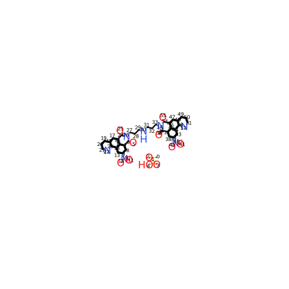 CS(=O)(=O)O.O=C1c2cc([N+](=O)[O-])cc3c2c(cc2cccnc23)C(=O)N1CCCNCCCN1C(=O)c2cc([N+](=O)[O-])cc3c2c(cc2cccnc23)C1=O